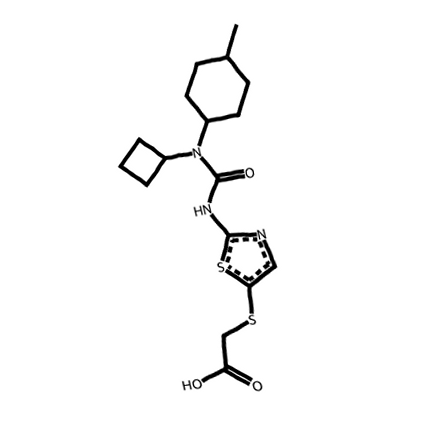 CC1CCC(N(C(=O)Nc2ncc(SCC(=O)O)s2)C2CCC2)CC1